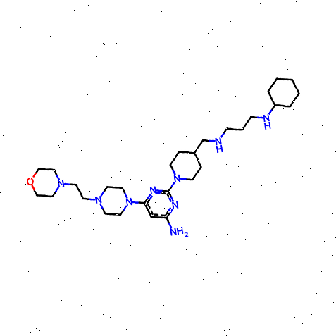 Nc1cc(N2CCN(CCN3CCOCC3)CC2)nc(N2CCC(CNCCCNC3CCCCC3)CC2)n1